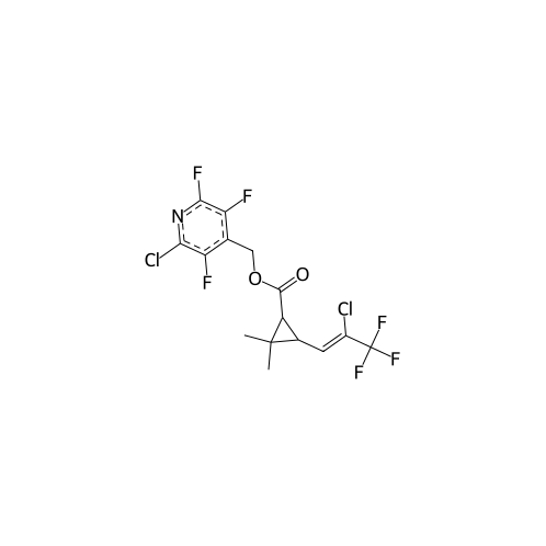 CC1(C)C(C=C(Cl)C(F)(F)F)C1C(=O)OCc1c(F)c(F)nc(Cl)c1F